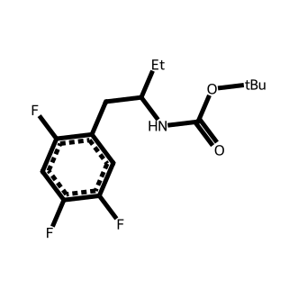 CCC(Cc1cc(F)c(F)cc1F)NC(=O)OC(C)(C)C